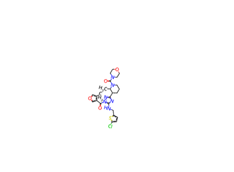 Cc1cocc1C(=O)n1nc(C2CCCN(C(=O)N3CCOCC3)C2C)nc1NCc1ccc(Cl)s1